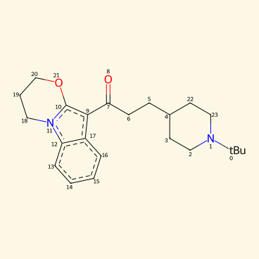 CC(C)(C)N1CCC(CCC(=O)c2c3n(c4ccccc24)CCCO3)CC1